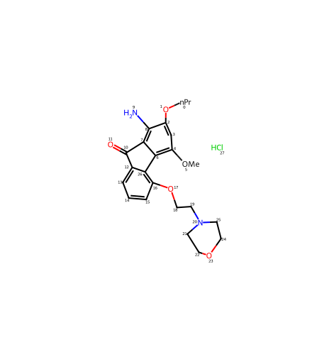 CCCOc1cc(OC)c2c(c1N)C(=O)c1cccc(OCCN3CCOCC3)c1-2.Cl